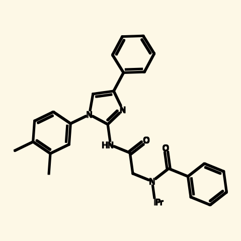 Cc1ccc(-n2cc(-c3ccccc3)nc2NC(=O)CN(C(=O)c2ccccc2)C(C)C)cc1C